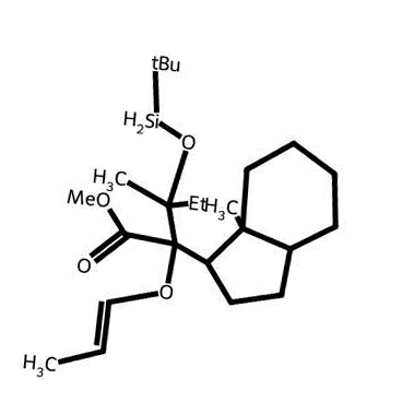 CC=COC(C(=O)OC)(C1CCC2CCCCC21C)C(C)(CC)O[SiH2]C(C)(C)C